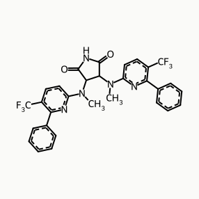 CN(c1ccc(C(F)(F)F)c(-c2ccccc2)n1)C1C(=O)NC(=O)C1N(C)c1ccc(C(F)(F)F)c(-c2ccccc2)n1